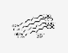 CCCCCCCCCCCCCCCCCC(=O)[O-].CCCCCCCCCCCCCCCCCC(=O)[O-].CCCCCCCCCCCCCCCCCC(=O)[O-].CCCCCCCCCCCCCCCCCC(=O)[O-].[Cu+2].[Zn+2]